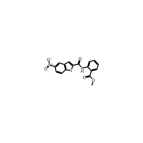 COC(=O)c1ccccc1NC(=O)c1cc2cc([N+](=O)[O-])ccc2s1